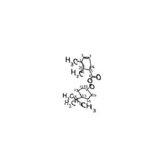 Cc1cccc(C(=O)OO[C]2CCC(C(C)(C)C)CC2)c1C